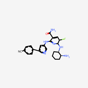 N#Cc1ccc(-c2cncc(NC3=NC(N[C@@H]4CCCC[C@@H]4N)C(F)C=C3C(N)=O)c2)cc1